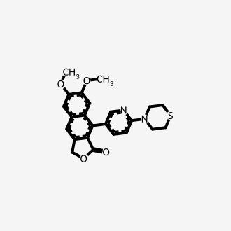 COc1cc2cc3c(c(-c4ccc(N5CCSCC5)nc4)c2cc1OC)C(=O)OC3